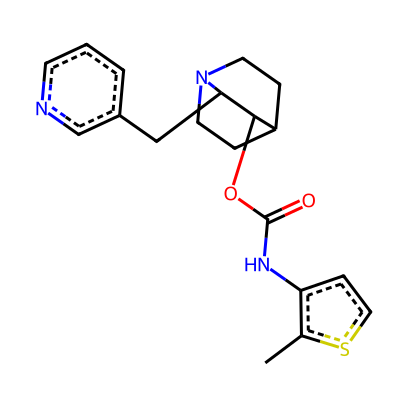 Cc1sccc1NC(=O)OC1C2CCN(CC2)C1Cc1cccnc1